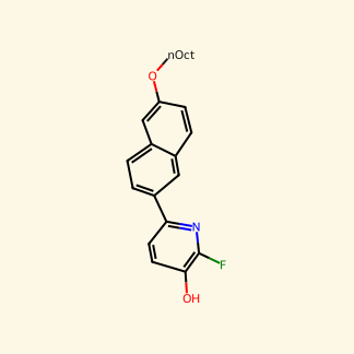 CCCCCCCCOc1ccc2cc(-c3ccc(O)c(F)n3)ccc2c1